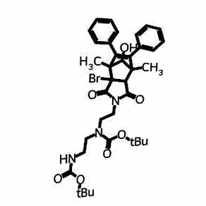 CC(C)(C)OC(=O)NCCN(CCN1C(=O)C2C3(C)C(c4ccccc4)=C(c4ccccc4)C(C)(C3O)C2(Br)C1=O)C(=O)OC(C)(C)C